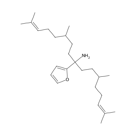 CC(C)=CCCC(C)CCC(N)(CCC(C)CCC=C(C)C)c1ccco1